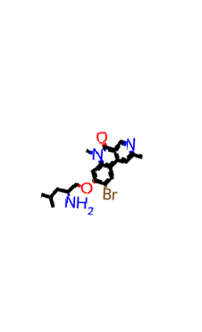 Cc1cc2c(cn1)c(=O)n(C)c1cc(OC[C@@H](N)CC(C)C)c(Br)cc21